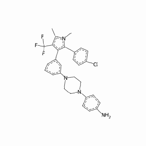 Cc1c(C(F)(F)F)c(-c2cccc(N3CCN(c4ccc(N)cc4)CC3)c2)c(-c2ccc(Cl)cc2)n1C